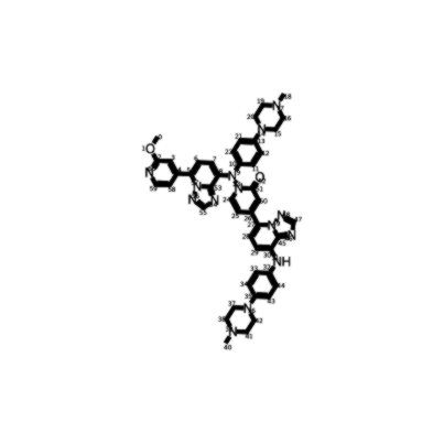 COc1cc(-c2ccc(N(c3ccc(N4CCN(C)CC4)cc3)n3ccc(-c4ccc(Nc5ccc(N6CCN(C)CC6)cc5)c5ncnn45)cc3=O)c3ncnn23)ccn1